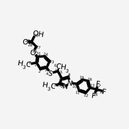 Cc1cc(S[C@@H](C)c2cn(-c3ccc(C(F)(F)F)cc3)nc2C)ccc1OCC(=O)O